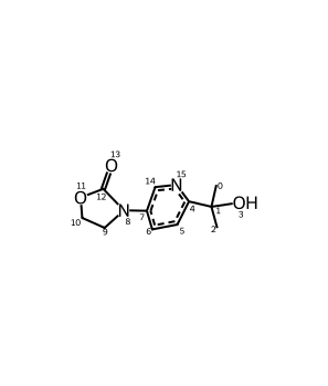 CC(C)(O)c1ccc(N2CCOC2=O)cn1